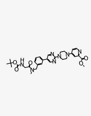 COC(=O)c1cc(N2CCN(c3ncc(-c4cccc(CN(C)C(=O)CNC(=O)OC(C)(C)C)c4)cn3)CC2)ccn1